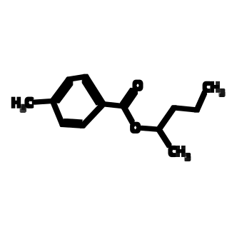 CCCC(C)OC(=O)c1ccc(C)cc1